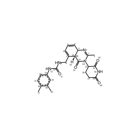 CC1=NC2C=CC=C(CNC(=O)Nc3ccc(C)c(C)c3)[C@H]2C(=O)N1C1CCC(=O)NC1=O